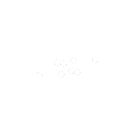 C=CC(=O)OCCOc1ccc(-c2cc3ccccc3cc2-c2cc3ccccc3cc2-c2ccc(OCCOC(=O)C=C)cc2)cc1